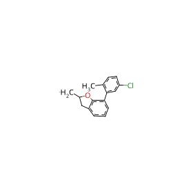 [CH2]C1Cc2cccc(-c3cc(Cl)ccc3C)c2O1